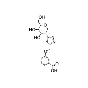 O=C(O)c1cccc(OCc2cn([C@H]3CO[C@H](CO)[C@H](O)[C@@H]3O)nn2)c1